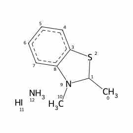 CC1Sc2ccccc2N1C.I.N